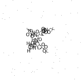 CCN1CCN(C(=O)NC(C(=O)N[C@@H](Cc2cccc(C(=O)OC(C)(C)C)c2OC)B2O[C@@H]3C[C@@H]4C[C@@H](C4(C)C)[C@]3(C)O2)C2CCN(S(=O)(=O)NC(=O)CC(C)(C)C)CC2)C(=O)C1=O